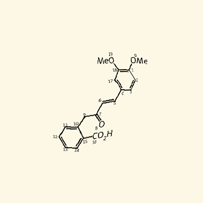 COc1ccc(C=CC(=O)Cc2ccccc2C(=O)O)cc1OC